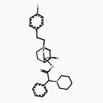 O=C(O[C@H]1C[N+]2(CCc3ccc(F)cc3)CCC1CC2)C(c1ccccc1)N1CCCCC1